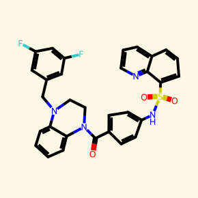 O=C(c1ccc(NS(=O)(=O)c2cccc3cccnc23)cc1)N1CCN(Cc2cc(F)cc(F)c2)c2ccccc21